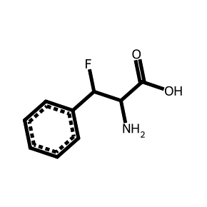 NC(C(=O)O)C(F)c1ccccc1